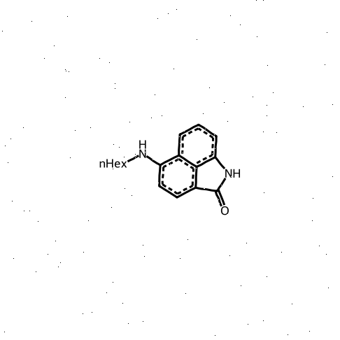 CCCCCCNc1ccc2c3c(cccc13)NC2=O